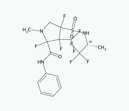 C[C@@H](NS(=O)(=O)C1(F)CN(C)C(F)(C(=O)Nc2ccccc2)C1(F)C(F)F)C(F)(F)F